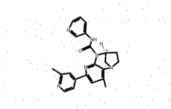 Cc1cc(-c2cc(C)c3c(n2)N(C(=O)Nc2cccnc2)[C@H]2CCN3C2)ccn1